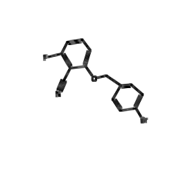 N#Cc1c(F)cccc1OCc1ccc(Br)cc1